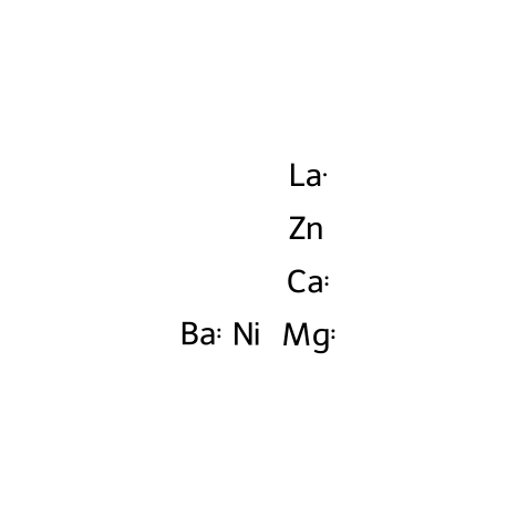 [Ba].[Ca].[La].[Mg].[Ni].[Zn]